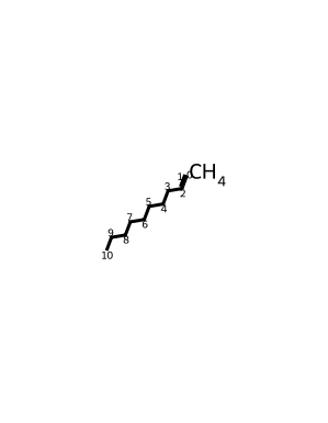 C.C=CCCCCCCCC